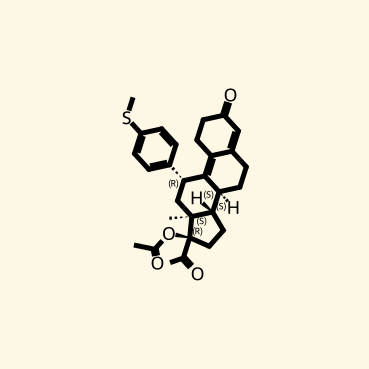 CSc1ccc([C@H]2C[C@@]3(C)[C@@H](CC[C@]3(OC(C)=O)C(C)=O)[C@@H]3CCC4=CC(=O)CCC4=C32)cc1